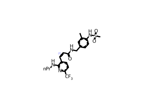 CCCNc1nc(C(F)(F)F)ccc1/C=C\C(=O)NCc1ccc(NS(C)(=O)=O)c(C)c1